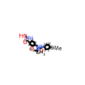 COc1ccc(NC(=O)N2Cc3ccc(C(=O)NO)cc3OCC2C)cc1